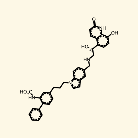 O=C(O)Nc1cc(CCCn2ccc3cc(CNC[C@H](O)c4ccc(O)c5[nH]c(=O)ccc45)ccc32)ccc1-c1ccccc1